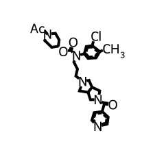 CC(=O)N1CCC(OC(=O)N(CCCN2CC3CN(C(=O)c4ccncc4)CC3C2)c2ccc(C)c(Cl)c2)CC1